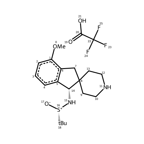 COc1cccc2c1CC1(CCNCC1)[C@@H]2N[S@@+]([O-])C(C)(C)C.O=C(O)C(F)(F)F